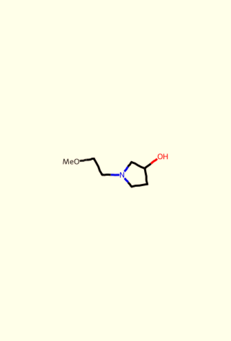 COCCN1CCC(O)C1